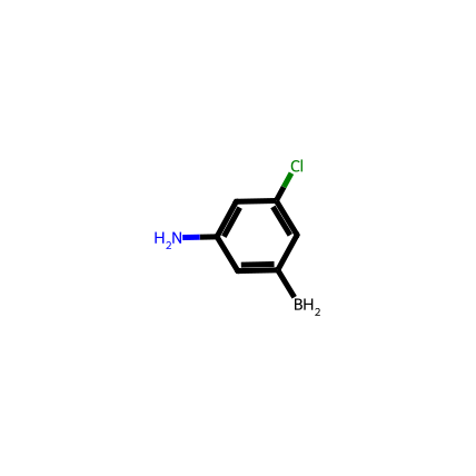 Bc1cc(N)cc(Cl)c1